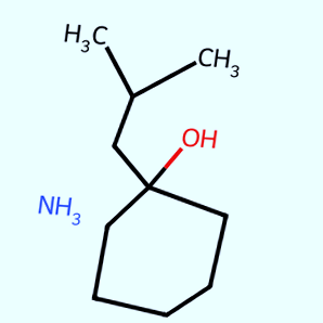 CC(C)CC1(O)CCCCC1.N